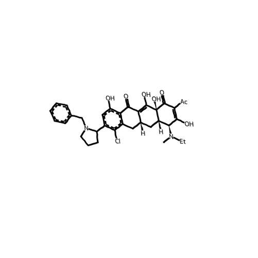 CCN(C)[C@@H]1C(O)=C(C(C)=O)C(=O)[C@@]2(O)C(O)=C3C(=O)c4c(O)cc(C5CCCN5Cc5ccccc5)c(Cl)c4C[C@H]3C[C@@H]12